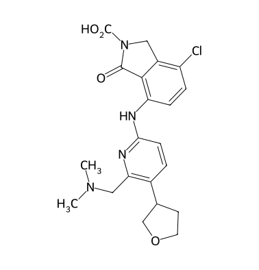 CN(C)Cc1nc(Nc2ccc(Cl)c3c2C(=O)N(C(=O)O)C3)ccc1C1CCOC1